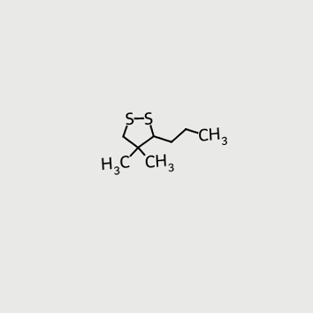 CCCC1SSCC1(C)C